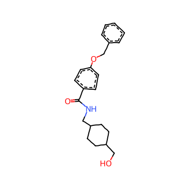 O=C(NCC1CCC(CO)CC1)c1ccc(OCc2ccccc2)cc1